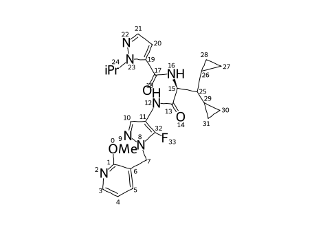 COc1ncccc1Cn1ncc(NC(=O)[C@@H](NC(=O)c2ccnn2C(C)C)C(C2CC2)C2CC2)c1F